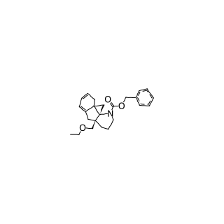 CCOC[C@]12CCCN(C(=O)OCc3ccccc3)[C@]13CC31CC=CC=C1C2